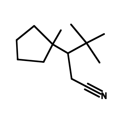 CC(C)(C)C(CC#N)C1(C)CCCC1